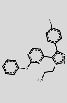 NCCn1nnc(-c2ccc(F)cc2)c1-c1ccnc(Oc2ccccc2)n1